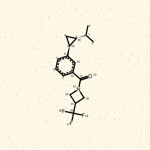 CC(C)[C@H]1C[C@@H]1c1cccc(C(=O)N2CC(C(F)(F)F)C2)c1